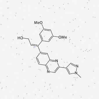 COc1cc(OC)cc(/C(=C\CO)c2ccc3ncc(-c4cnn(C)c4)nc3c2)c1